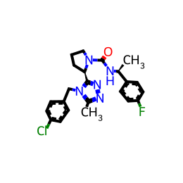 Cc1nnc([C@H]2CCCN2C(=O)N[C@@H](C)c2ccc(F)cc2)n1Cc1ccc(Cl)cc1